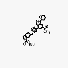 C[Si](=O)c1cc(-c2cn(Cc3ccc4ccn(C(=O)OC(C)(C)C)c4c3)nn2)c2cnn(C3CCCCO3)c2c1